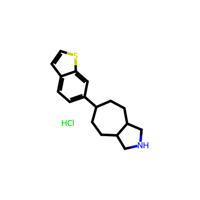 Cl.c1cc2ccc(C3CCC4CNCC4CC3)cc2s1